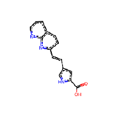 O=C(O)c1cc(/C=C/c2ccc3cccnc3n2)c[nH]1